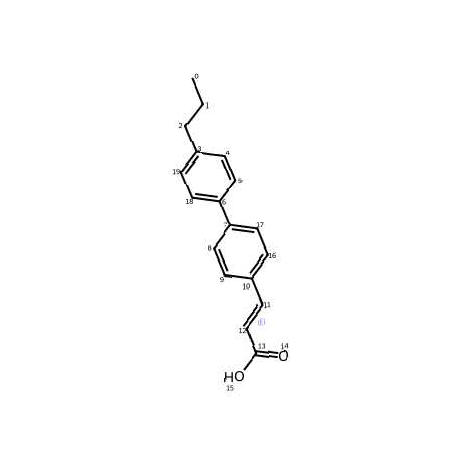 CCCc1ccc(-c2ccc(/C=C/C(=O)O)cc2)cc1